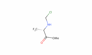 COC(=O)[C@@H](NCCl)C(F)(F)F